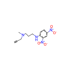 C#CCN(C)CCCNc1ccc([N+](=O)[O-])cc1[N+](=O)[O-]